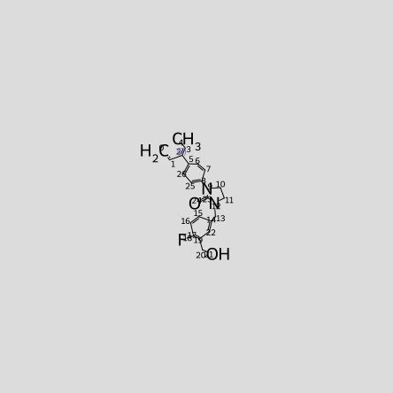 C=C/C(=C\C)c1ccc(N2CCN(Cc3ccc(F)c(CO)c3)C2=O)cc1